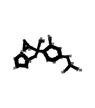 OC(Cn1cncn1)(c1ccc(OC(F)F)cc1Cl)C1CC1